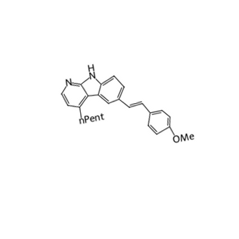 CCCCCc1ccnc2[nH]c3ccc(/C=C/c4ccc(OC)cc4)cc3c12